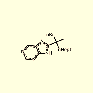 CCCCCCCC(C)(CCCC)c1nc2cnccc2[nH]1